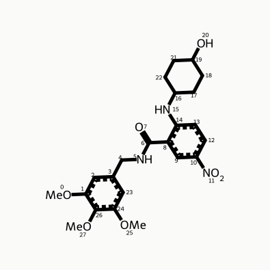 COc1cc(CNC(=O)c2cc([N+](=O)[O-])ccc2NC2CCC(O)CC2)cc(OC)c1OC